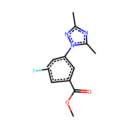 COC(=O)c1cc(F)cc(-n2nc(C)nc2C)c1